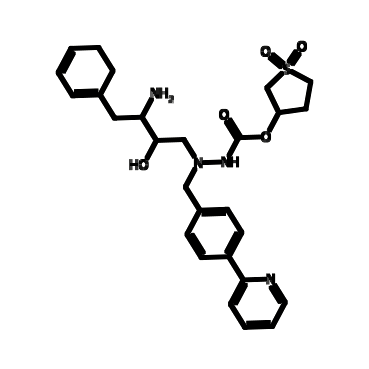 NC(CC1=CC=CCC1)C(O)CN(Cc1ccc(-c2ccccn2)cc1)NC(=O)OC1CCS(=O)(=O)C1